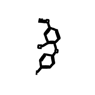 COc1ccc(Oc2ccc(I)cc2)c(Cl)c1